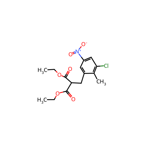 CCOC(=O)C(Cc1cc([N+](=O)[O-])cc(Cl)c1C)C(=O)OCC